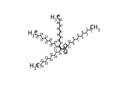 CCCCCCCCCCCCOC(=O)C(CCCCCCCCCC)=C(CCCCCCCCCC)CCCCCCCCCC